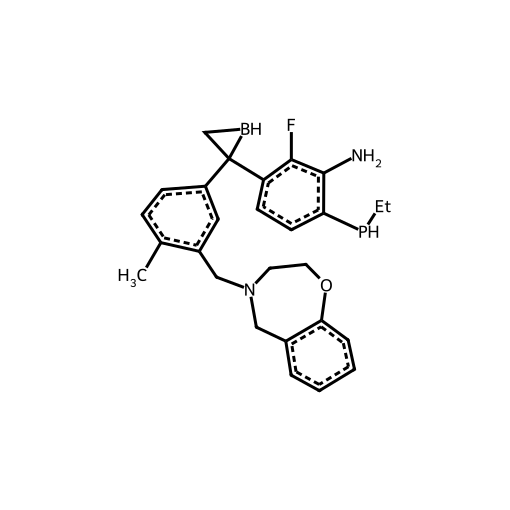 CCPc1ccc(C2(c3ccc(C)c(CN4CCOc5ccccc5C4)c3)BC2)c(F)c1N